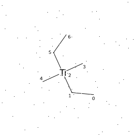 C[CH2][Ti]([CH3])([CH3])[CH2]C